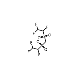 O=S(=O)(CS(=O)(=O)C(F)C(F)F)C(F)C(F)F